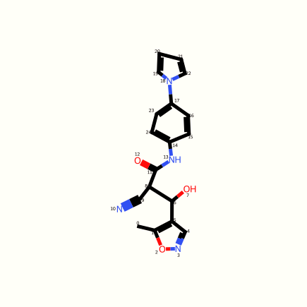 Cc1oncc1C(O)C(C#N)C(=O)Nc1ccc(-n2cccc2)cc1